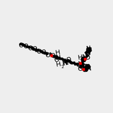 COCCOCCOCCOCCOCCOCCOCCOCCC(=O)NCCCCC(N)C(=O)NCCCCCCN1N=C(c2ccc(NC(=O)N3Cc4ccncc4C3)cc2)CC(c2cccc3ncccc23)C1=O